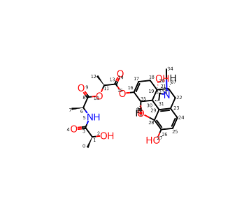 C[C@H](O)C(=O)N[C@@H](C)C(=O)O[C@@H](C)C(=O)OC1=CC[C@@]2(O)[C@H]3Cc4ccc(O)c5c4[C@@]2(CCN3C)[C@H]1O5